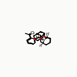 CC(=O)c1ccccc1N[C@H]1C[C@H]2CCC[C@@H](C1)N2C12CC3CC(CC(C3)C1)C2